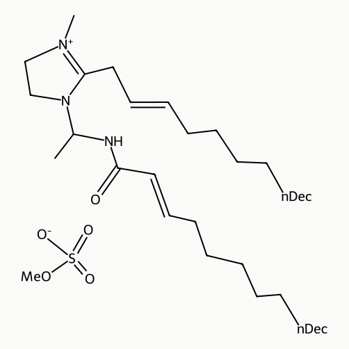 CCCCCCCCCCCCCCC=CCC1=[N+](C)CCN1C(C)NC(=O)C=CCCCCCCCCCCCCCCC.COS(=O)(=O)[O-]